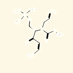 C=CCN(C(=O)OC(C)(C)C)[C@H](CO[Si](C)(C)C(C)(C)C)C(=O)/C=C\C